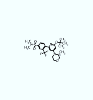 C[C@@H]1COCCN1c1cc(OC(C)(C)C)nc(-c2ccc(S(=O)(=O)N(C)C)cc2C(F)(F)F)c1